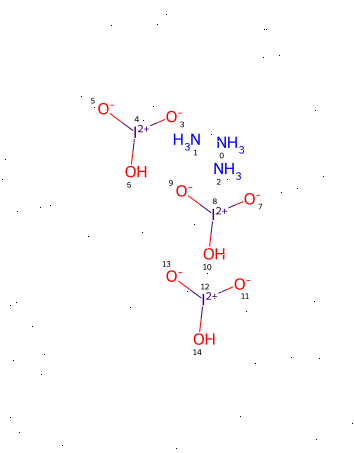 N.N.N.[O-][I+2]([O-])O.[O-][I+2]([O-])O.[O-][I+2]([O-])O